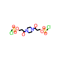 O=C(CCOS(=O)(=O)CCl)N1CCN(C(=O)CCOS(=O)(=O)CCl)CC1